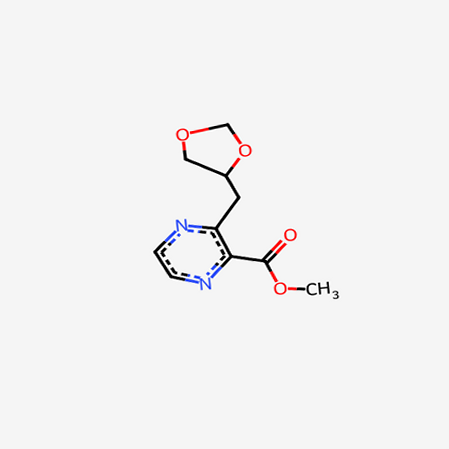 COC(=O)c1nccnc1CC1COCO1